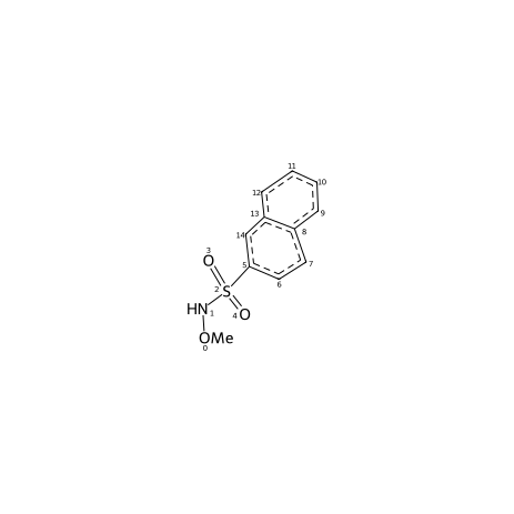 CONS(=O)(=O)c1ccc2ccccc2c1